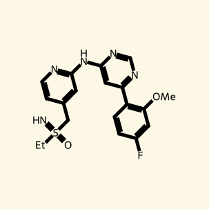 CCS(=N)(=O)Cc1ccnc(Nc2cc(-c3ccc(F)cc3OC)ncn2)c1